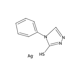 Sc1nncn1-c1ccccc1.[Ag]